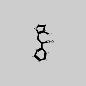 O=CC(Cc1sccc1Br)c1ccccc1